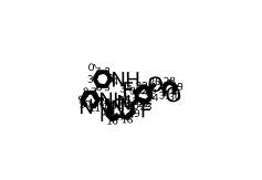 C[C@@H]1C[C@H](N)C[C@H](c2ccncc2Nc2ncc3ccc(-c4c(F)cc(OC5CCOC5)cc4F)nn23)C1